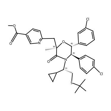 COC(=O)c1ccc(C[C@@]2(C)O[C@H](c3cccc(Cl)c3)[C@@H](c3ccc(Cl)cc3)N([C@H](CSC(C)(C)C)C3CC3)C2=O)nc1